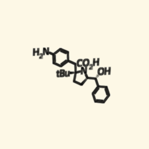 CC(C)(C)[C@]1(Cc2ccc(N)cc2)CC[C@H]([C@H](O)c2ccccc2)N1C(=O)O